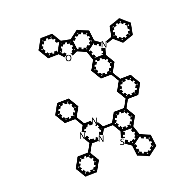 c1ccc(-c2nc(-c3ccccc3)nc(-c3cc(-c4cccc(-c5ccc6c7c8oc9ccccc9c8ccc7n(-c7ccccc7)c6c5)c4)cc4c3sc3ccccc34)n2)cc1